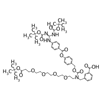 CC(C)(C)OC(=O)CCOCCOCCOCCOCCN(Cc1cccc(C(=O)O)c1)C(=O)OCc1ccc(OC(=O)c2ccc(N/C(=N\C(=O)OC(C)(C)C)NC(=O)OC(C)(C)C)cc2)cc1